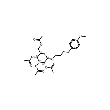 COc1ccc(CCCCO[C@@H]2O[C@H](COC(C)=O)[C@H](OC(C)=O)[C@H](OC(C)=O)[C@H]2OC(C)=O)cc1